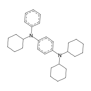 c1ccc(N(c2ccc(N(C3CCCCC3)C3CCCCC3)cc2)C2CCCCC2)cc1